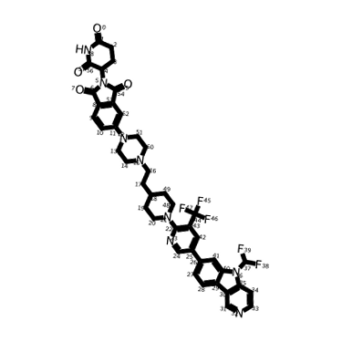 O=C1CCC(N2C(=O)c3ccc(N4CCN(CCC5CCN(c6ncc(-c7ccc8c9cnccc9n(C(F)F)c8c7)cc6C(F)(F)F)CC5)CC4)cc3C2=O)C(=O)N1